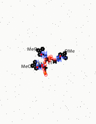 CCOC1C(OP(C)(=O)OC[C@H]2O[C@@H](n3cnc4c(NC(c5ccccc5)(c5ccccc5)c5ccc(OC)cc5)ncnc43)C(C)C2C)[C@H](n2cnc3c(NC(c4ccccc4)(c4ccccc4)c4ccc(OC)cc4)ncnc32)O[C@@H]1COP(OC1C(C)[C@@H](COP(C)(C)=O)O[C@H]1n1cnc2c(NC(c3ccccc3)(c3ccccc3)c3ccc(OC)cc3)ncnc21)N(CC)CC